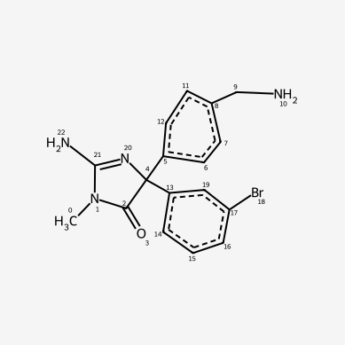 CN1C(=O)C(c2ccc(CN)cc2)(c2cccc(Br)c2)N=C1N